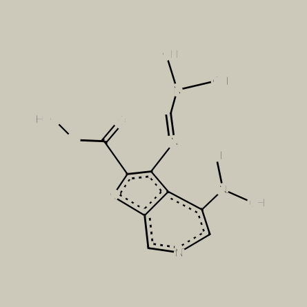 COC(=O)c1sc2cncc(N(C)C)c2c1/N=C/N(C)C